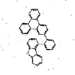 c1ccc(-c2cccc3oc4ccccc4c23)c(-c2ccc3c4ccccc4c4ccccc4c3c2)c1